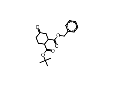 CC(C)(C)OC(=O)C1CCC(=O)CC1C(=O)OCc1ccccc1